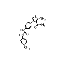 Cc1ccc(NC(=O)Nc2ccc(-c3csc(N)c3C(N)=O)cc2)cc1